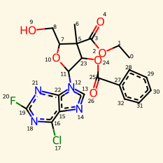 CCOC(=O)C1(C)C(CO)OC(n2cnc3c(Cl)nc(F)nc32)C1OC(=O)c1ccccc1